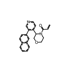 C=CC(=O)N1CCOCC1c1ccncc1-c1ccc2ccccc2c1